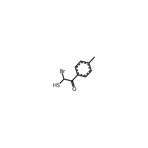 Cc1ccc(C(=O)C(S)Br)cc1